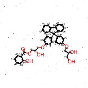 O=C(OCC(O)COc1ccc(C2(c3ccc(OCC(O)CO)cc3)c3ccccc3-c3ccccc32)cc1)c1ccccc1O